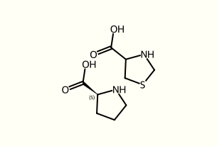 O=C(O)C1CSCN1.O=C(O)[C@@H]1CCCN1